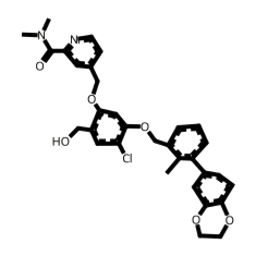 Cc1c(COc2cc(OCc3ccnc(C(=O)N(C)C)c3)c(CO)cc2Cl)cccc1-c1ccc2c(c1)OCCO2